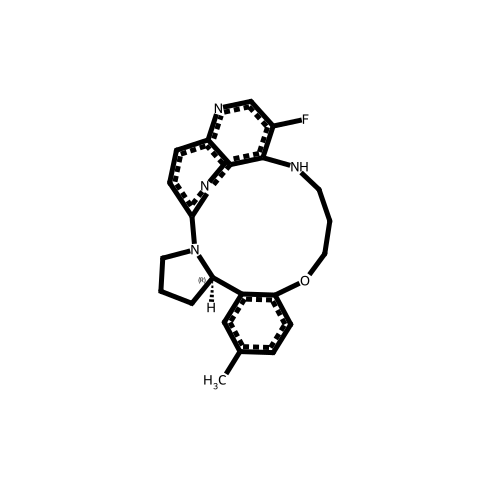 Cc1ccc2c(c1)[C@H]1CCCN1c1ccc3ncc(F)c(c3n1)NCCCO2